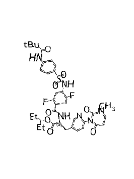 CCC(CC)OC(=O)[C@H](Cc1ccc(-n2c(=O)ccn(C)c2=O)nc1)NC(=O)c1cc(F)c(NS(=O)(=O)c2ccc(NC(=O)C(C)(C)C)cc2)cc1F